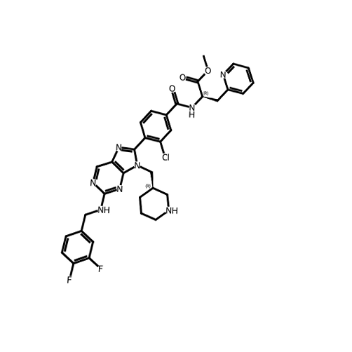 COC(=O)[C@@H](Cc1ccccn1)NC(=O)c1ccc(-c2nc3cnc(NCc4ccc(F)c(F)c4)nc3n2C[C@@H]2CCCNC2)c(Cl)c1